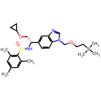 Cc1cc(C)c([S@@+]([O-])N[C@H](COC2CC2)c2ccc3c(c2)ncn3COCC[Si](C)(C)C)c(C)c1